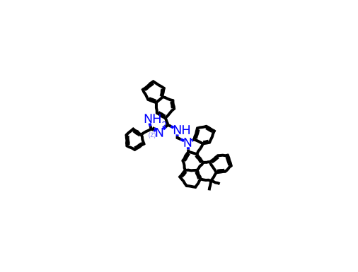 CC1(C)C2=c3c(c4c5ccccc5n(CNC(/N=C(\N)c5ccccc5)c5ccc6ccccc6c5)c4cc3=CCC2)-c2ccccc21